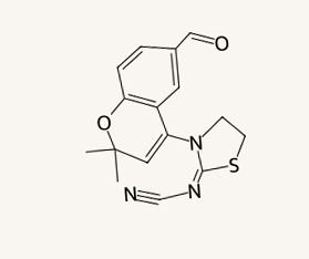 CC1(C)C=C(N2CCS/C2=N/C#N)c2cc(C=O)ccc2O1